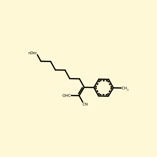 CCCCCCCCCCCCCCCCC(=C([C]=O)C#N)c1ccc(C)cc1